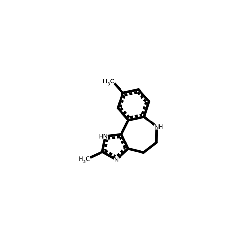 Cc1ccc2c(c1)-c1[nH]c(C)nc1CCN2